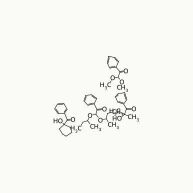 CC(C)(O)C(=O)c1ccccc1.CCC(C)OC(OC(C)CC)C(=O)c1ccccc1.COC(OC)C(=O)c1ccccc1.O=C(c1ccccc1)C1(O)CCCCC1